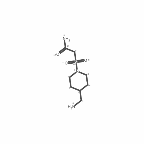 NCC1CCN(S(=O)(=O)CC(N)=O)CC1